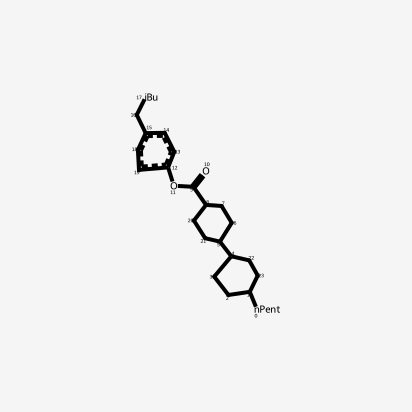 CCCCCC1CCC(C2CCC(C(=O)Oc3ccc(CC(C)CC)cc3)CC2)CC1